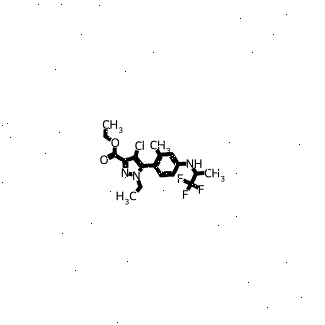 CCOC(=O)c1nn(CC)c(-c2ccc(NC(C)C(F)(F)F)cc2C)c1Cl